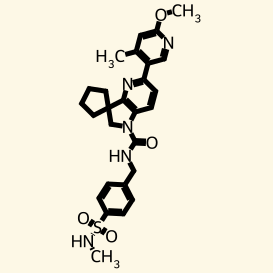 CNS(=O)(=O)c1ccc(CNC(=O)N2CC3(CCCC3)c3nc(-c4cnc(OC)cc4C)ccc32)cc1